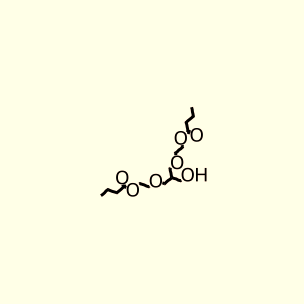 CCCC(=O)OCCOCC(CO)COCCOC(=O)CCC